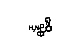 NC(=O)c1occc1-c1cccc(N2CCCC2)c1